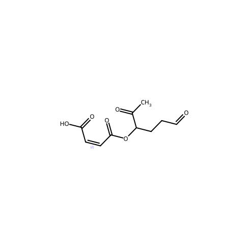 CC(=O)C(CCC=O)OC(=O)/C=C\C(=O)O